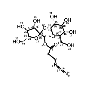 [N-]=[N+]=NCCC(=O)OC[C@@]1(O[C@H]2O[C@H](CO)[C@@H](O)[C@H](O)[C@H]2O)O[C@H](CO)[C@@H](O)[C@@H]1O